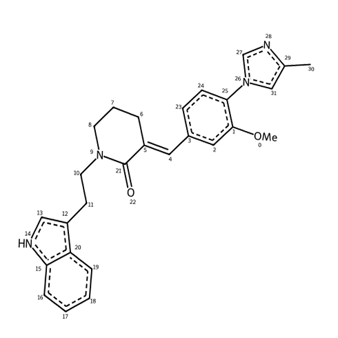 COc1cc(/C=C2\CCCN(CCc3c[nH]c4ccccc34)C2=O)ccc1-n1cnc(C)c1